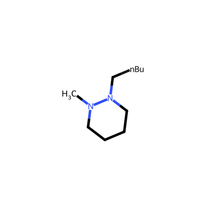 CCCCCN1CCCCN1C